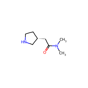 CN(C)C(=O)C[C@H]1CCNC1